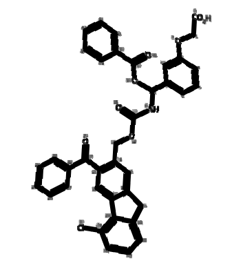 O=C(O)COc1cccc(C(NC(=O)OCc2cc3c(cc2C(=O)c2ccccc2)-c2c(Cl)cccc2C3)OC(=O)c2ccccc2)c1